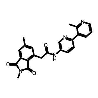 Cc1cc(CC(=O)Nc2ccc(-c3cccnc3C)nc2)c2c(c1)C(=O)N(C)C2=O